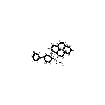 CN(c1ccc(-c2ccccc2)cc1)c1cc2cccc3ccc4cccc1c4c32